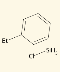 CCc1ccccc1.[SiH3]Cl